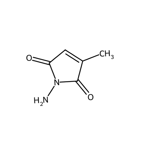 CC1=CC(=O)N(N)C1=O